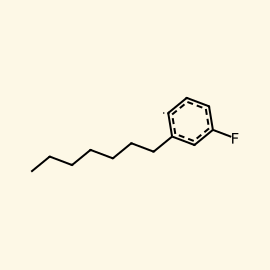 CCCCCCCc1[c]ccc(F)c1